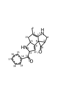 CC1=C2NCC3C(=O)C23C2=CC(C(=O)c3ccccc3)NC2C1